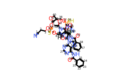 N#CCCOP1(=S)OC[C@H]2O[C@@H](n3cnc4c(NC(=O)c5ccccc5)ncnc43)[C@H](F)[C@@H]2OP(=O)(S)OC[C@]23CO[C@]2(C[C@H](n2cnc4c(NC(=O)c5ccccc5)ncnc42)O3)O1